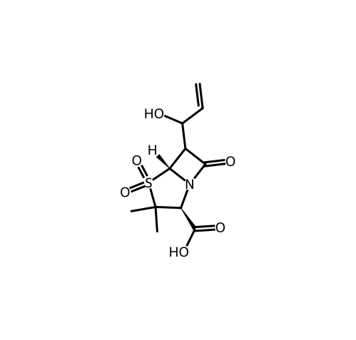 C=CC(O)C1C(=O)N2[C@@H](C(=O)O)C(C)(C)S(=O)(=O)[C@H]12